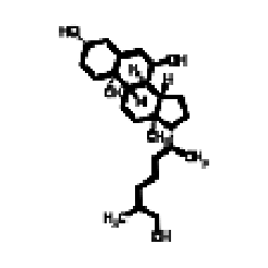 CC(CO)CCCC(C)[C@H]1CC[C@H]2[C@@H]3[C@H](O)C=C4C[C@@H](O)CC[C@]4(C)[C@H]3CC[C@]12C